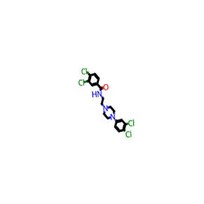 O=C(NCCN1CCN(c2ccc(Cl)c(Cl)c2)CC1)c1ccc(Cl)c(Cl)c1